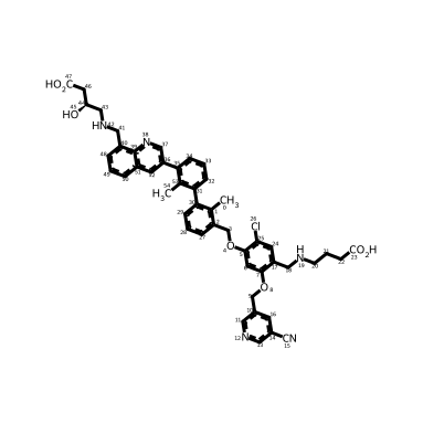 Cc1c(COc2cc(OCc3cncc(C#N)c3)c(CNCCCC(=O)O)cc2Cl)cccc1-c1cccc(-c2cnc3c(CNC[C@@H](O)CC(=O)O)cccc3c2)c1C